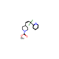 CC(C)(C)OC(=O)N1CCC(/C=C\C(F)(F)c2ccccn2)CC1